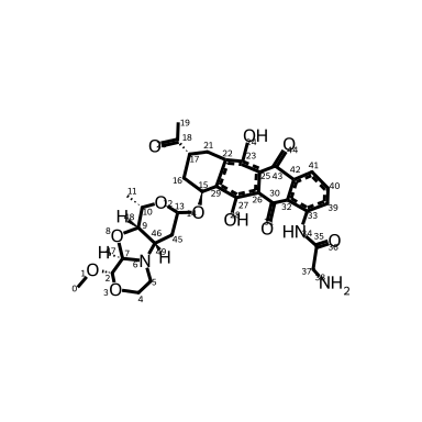 CO[C@H]1OCCN2[C@@H]1O[C@@H]1[C@H](C)OC(O[C@H]3C[C@H](C(C)=O)Cc4c(O)c5c(c(O)c43)C(=O)c3c(NC(=O)CN)cccc3C5=O)C[C@@H]12